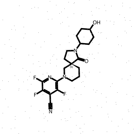 N#Cc1c(F)c(F)nc(N2CCC[C@]3(CCN(C4CCC(O)CC4)C3=O)C2)c1F